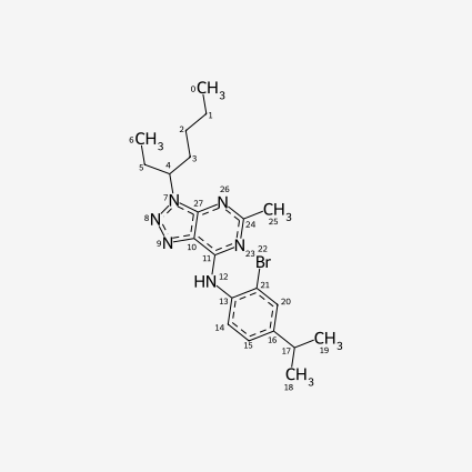 CCCCC(CC)n1nnc2c(Nc3ccc(C(C)C)cc3Br)nc(C)nc21